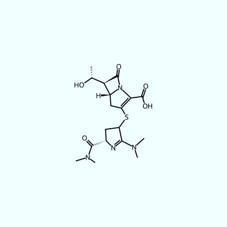 C[C@@H](O)[C@H]1C(=O)N2C(C(=O)O)=C(SC3C[C@@H](C(=O)N(C)C)N=C3N(C)C)C[C@H]12